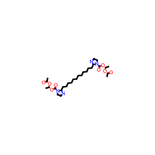 CC(=O)OC(C)OC(=O)N1CC=NC1CCCCCCCCCCCCC1N=CCN1C(=O)OC(C)OC(C)=O